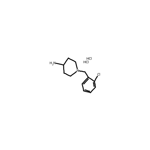 Cl.Cl.NC1CCN(Cc2ccccc2Cl)CC1